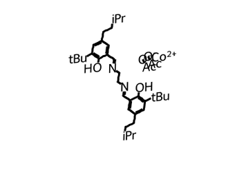 CC(=O)[O-].CC(=O)[O-].CC(C)CCc1cc(C=NCCN=Cc2cc(CCC(C)C)cc(C(C)(C)C)c2O)c(O)c(C(C)(C)C)c1.[Co+2]